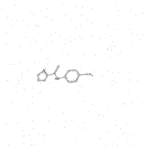 Cc1ccc(NC(=O)c2cocn2)cc1